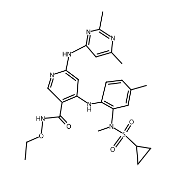 CCONC(=O)c1cnc(Nc2cc(C)nc(C)n2)cc1Nc1ccc(C)cc1N(C)S(=O)(=O)C1CC1